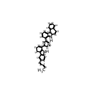 C/C=C\C=C/c1ccc2[nH]c3c(c2c1)CCC=C3c1cncc(-c2cccc3c2NC2C=Cc4ccccc4C32)n1